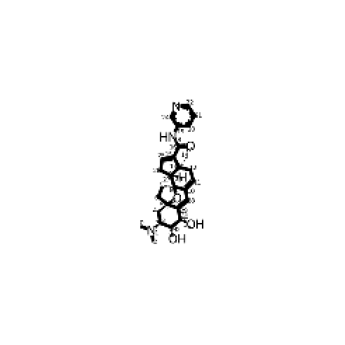 CN(C)[C@H]1C[C@@]23CC[C@@]4(O2)C(=CC[C@]2(C)C(C(=O)Nc5cccnc5)=CC[C@H]24)C=C3[C@@H](O)[C@@H]1O